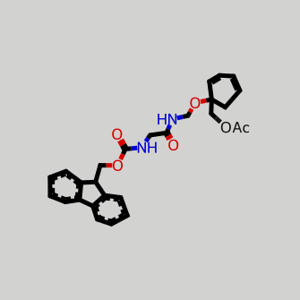 CC(=O)OCC1(OCNC(=O)CNC(=O)OCC2c3ccccc3-c3ccccc32)C=CC=CC1